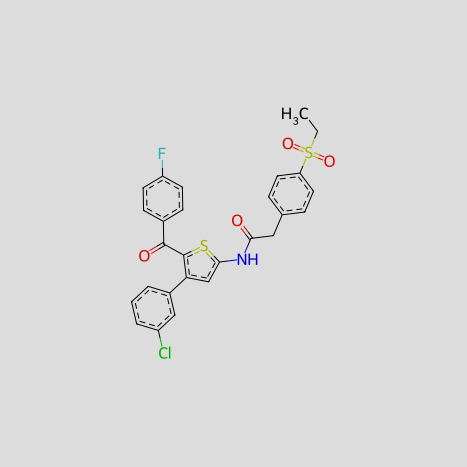 CCS(=O)(=O)c1ccc(CC(=O)Nc2cc(-c3cccc(Cl)c3)c(C(=O)c3ccc(F)cc3)s2)cc1